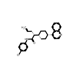 C=CC[C@@H](C(=O)Nc1ccc(Cl)cc1)[C@H]1CC[C@@H](c2ccnc3ccccc32)CC1